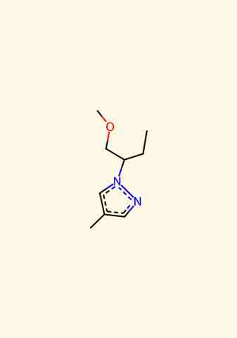 CCC(COC)n1cc(C)cn1